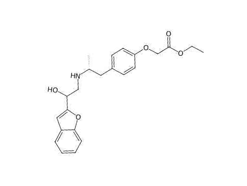 CCOC(=O)COc1ccc(C[C@@H](C)NCC(O)c2cc3ccccc3o2)cc1